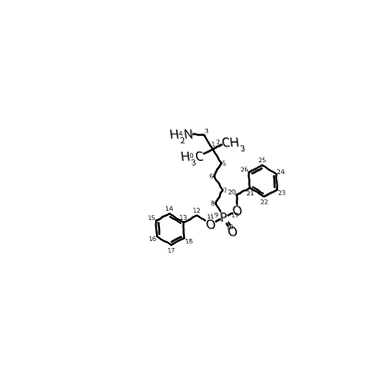 CC(C)(CN)CCCCP(=O)(OCc1ccccc1)OCc1ccccc1